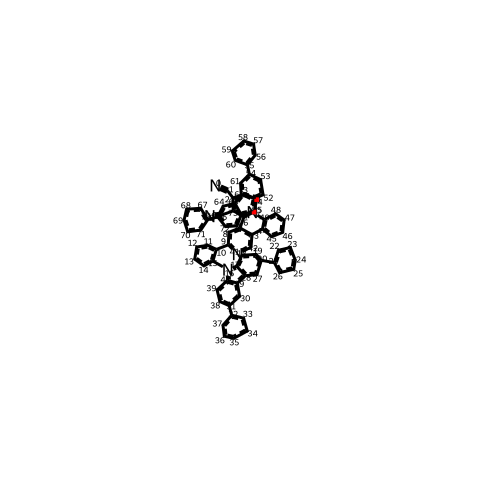 N#Cc1cccc(-c2cc(-c3ccccc3-n3c4ccc(-c5ccccc5)cc4c4cc(-c5ccccc5)ccc43)ncc2-c2ccccc2-n2c3ccc(-c4ccccc4)cc3c3cc(-c4ccccc4)ccc32)c1C#N